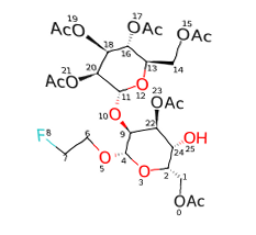 CC(=O)OC[C@@H]1O[C@H](OCCF)[C@@H](O[C@H]2O[C@H](COC(C)=O)[C@@H](OC(C)=O)[C@H](OC(C)=O)[C@@H]2OC(C)=O)[C@@H](OC(C)=O)[C@@H]1O